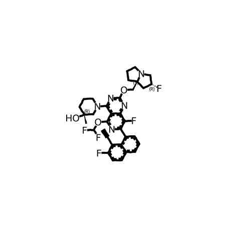 C#Cc1c(F)ccc2cccc(-c3nc(OC(F)F)c4c(N5CCC[C@@](C)(O)C5)nc(OC[C@@]56CCCN5C[C@H](F)C6)nc4c3F)c12